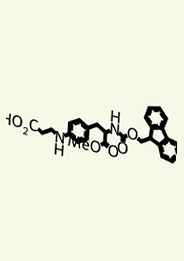 COC(=O)C(Cc1ccc(NCCC(=O)O)cc1)NC(=O)OCC1c2ccccc2-c2ccccc21